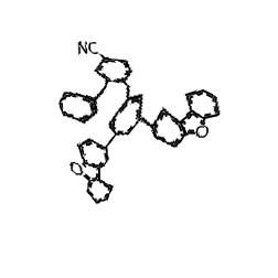 N#Cc1ccc(-c2cc(-c3ccc4oc5ccccc5c4c3)cc(-c3ccc4oc5ccccc5c4c3)c2)c(-c2ccccc2)c1